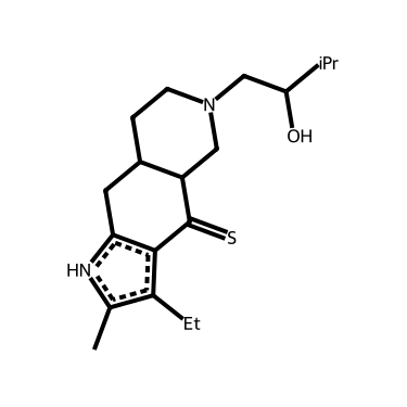 CCc1c(C)[nH]c2c1C(=S)C1CN(CC(O)C(C)C)CCC1C2